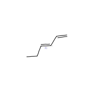 C=C/[C]=C/CC